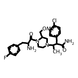 COCC1CN(C(C)C(C(N)=O)c2ccc(Cl)cc2)CCN1C(=O)C(N)Cc1ccc(F)cc1